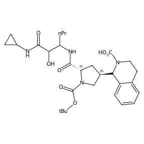 CCCC(NC(=O)[C@@H]1C[C@@H](C2c3ccccc3CCN2C(=O)O)CN1C(=O)OC(C)(C)C)C(O)C(=O)NC1CC1